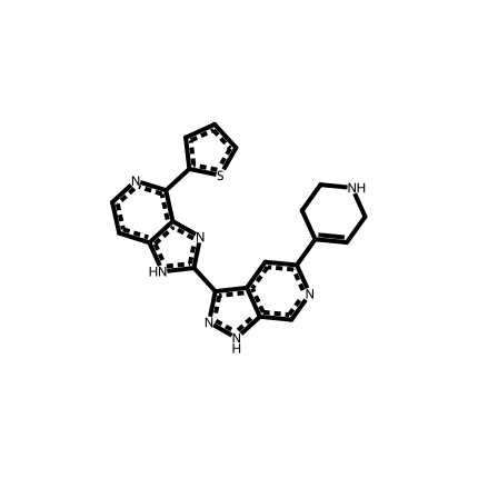 C1=C(c2cc3c(-c4nc5c(-c6cccs6)nccc5[nH]4)n[nH]c3cn2)CCNC1